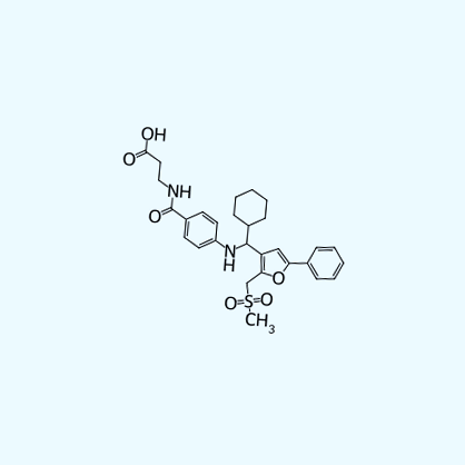 CS(=O)(=O)Cc1oc(-c2ccccc2)cc1C(Nc1ccc(C(=O)NCCC(=O)O)cc1)C1CCCCC1